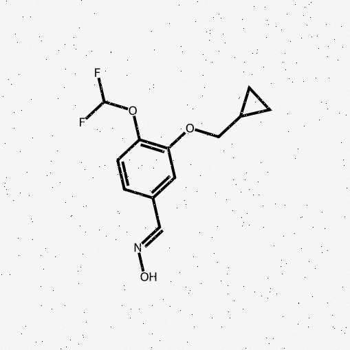 ON=Cc1ccc(OC(F)F)c(OCC2CC2)c1